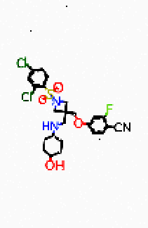 N#Cc1ccc(OCC2(CNC3CCC(O)CC3)CN(S(=O)(=O)c3ccc(Cl)cc3Cl)C2)cc1F